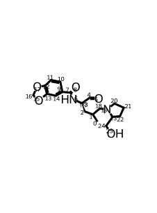 CC(C[C@H](C=O)NC(=O)c1ccc2c(c1)OCO2)CN1CCCC1CO